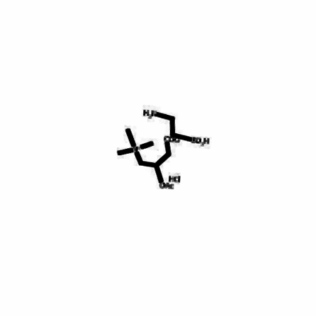 CC(=O)OC(CC(=O)[O-])C[N+](C)(C)C.Cl.NCCS(=O)(=O)O